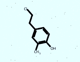 Cc1cc(CCCl)ccc1O